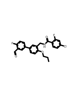 CCCOc1ccc(-c2ccc(F)c(C=O)c2)cc1CNC(=O)c1ccc(Cl)cc1F